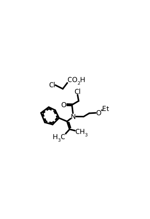 CCOCCN(C(=O)CCl)C(=C(C)C)c1ccccc1.O=C(O)CCl